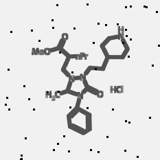 CCCC(CN1C(C)N(c2ccccc2)C(=O)N1CCC1CCNCC1)C(=O)OC.Cl